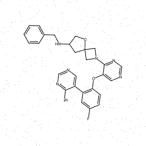 CC(C)c1ncncc1-c1cc(F)ccc1Oc1cncnc1N1CC2(CC(NCc3ccccc3)CO2)C1